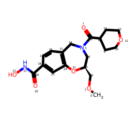 COC[C@@H]1CN(C(=O)C2CCOCC2)Cc2ccc(C(=O)NO)cc2O1